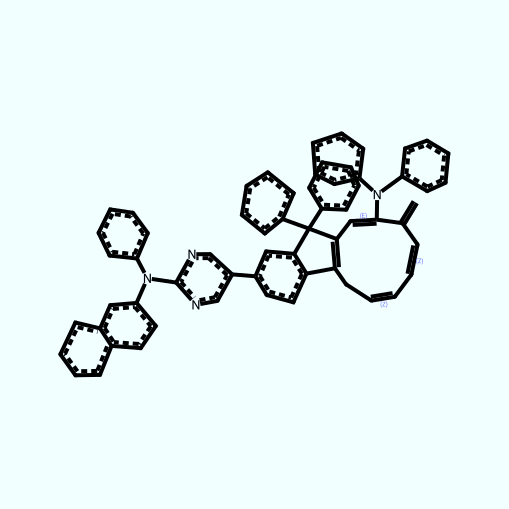 C=C1/C=C\C=C/CC2=C(/C=C\1N(c1ccccc1)c1ccccc1)C(c1ccccc1)(c1ccccc1)c1cc(-c3cnc(N(c4ccccc4)c4ccc5ccccc5c4)nc3)ccc12